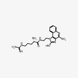 CCCCc1nc2c(N)nc3ccccc3c2n1CCNC(=O)[C@@H](N)CCCNC(=N)N